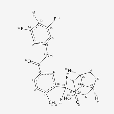 Cc1ccc(C(=O)Nc2cc(F)c(F)c(F)c2)cc1C(F)(F)C(=O)N1[C@@H]2CC[C@H]1C[C@H](O)C2